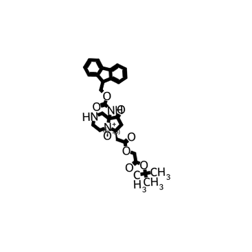 CC(C)(C)OC(=O)COC(=O)C[C@@H]1CC(=O)C2(NC(=O)OCC3c4ccccc4-c4ccccc43)CNCC[N@+]12[O-]